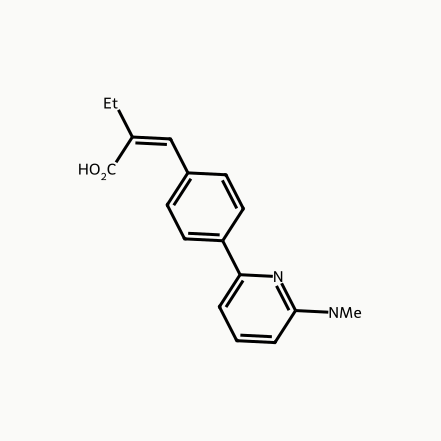 CC/C(=C/c1ccc(-c2cccc(NC)n2)cc1)C(=O)O